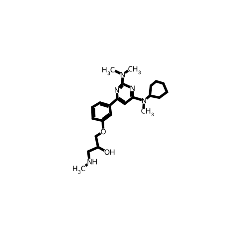 CNCC(O)COc1cccc(-c2cc(N(C)C3CCCCC3)nc(N(C)C)n2)c1